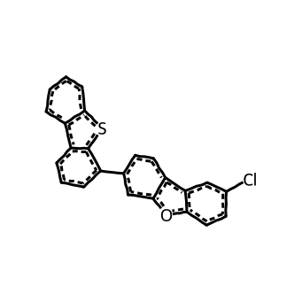 Clc1ccc2oc3cc(-c4cccc5c4sc4ccccc45)ccc3c2c1